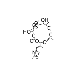 C/C1=C/C[C@@H](/C(C)=C/c2csc(C)n2)OC(=O)CC(O)C(C)(C)S(=O)(=O)C(C)C(O)[C@@H](C)CCC1